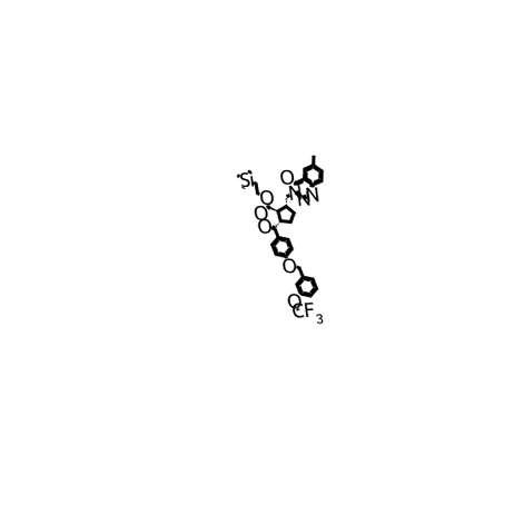 Cc1ccc2nnn(C[C@@H]3CC[C@H](C(=O)c4ccc(OCc5cccc(OC(F)(F)F)c5)cc4)[C@H]3C(=O)OCC[Si](C)(C)C)c(=O)c2c1